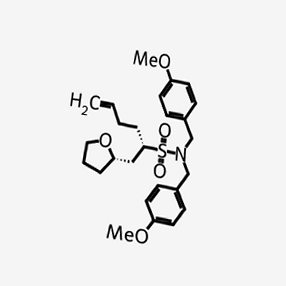 C=CCC[C@@H](C[C@@H]1CCCO1)S(=O)(=O)N(Cc1ccc(OC)cc1)Cc1ccc(OC)cc1